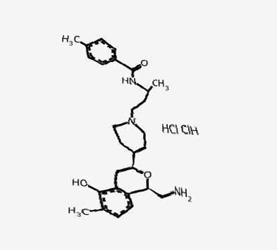 Cc1ccc(C(=O)NC(C)CCN2CCC([C@@H]3Cc4c(ccc(C)c4O)[C@H](CN)O3)CC2)cc1.Cl.Cl